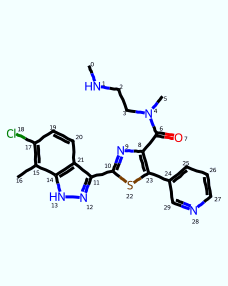 CNCCN(C)C(=O)c1nc(-c2n[nH]c3c(C)c(Cl)ccc23)sc1-c1cccnc1